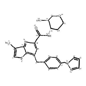 Cc1csc2c(Cc3ccc(-n4cccn4)cc3)cc(C(=O)N[C@H]3CCOC[C@@H]3O)nc12